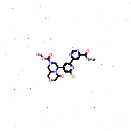 CNC(=O)c1cc(-c2cc(C3CN(C(=O)OC(C)(C)C)CC4COCC(=O)N43)cc(Cl)n2)ncn1